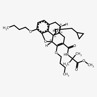 CCCCOC1=C(C(=O)NC(C)(C)C(=O)OC)C[C@@]2(O)[C@H]3Cc4ccc(OCCCC)c5c4[C@@]2(CCN3CC2CC2)[C@H]1O5